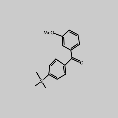 COc1cccc(C(=O)c2ccc([Si](C)(C)C)cc2)c1